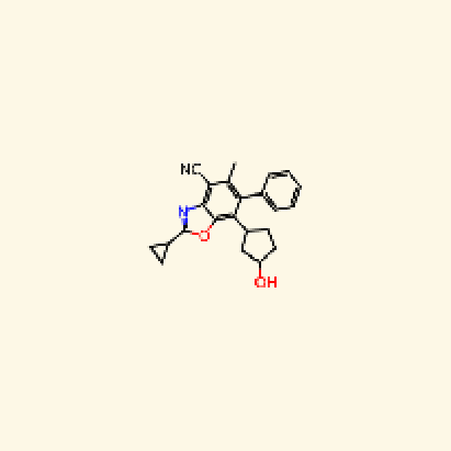 Cc1c(-c2ccccc2)c(C2CCC(O)C2)c2oc(C3CC3)nc2c1C#N